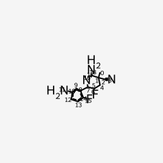 CC1(C#N)CC(F)C(c2cc(N)ccc2F)N=C1N